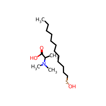 CC(C(=O)O)N(C)C.CCCCCCCCCCCCSO